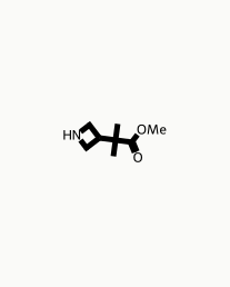 COC(=O)C(C)(C)C1CNC1